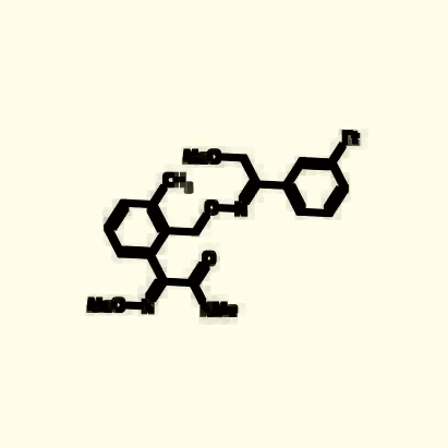 CCc1cccc(/C(COC)=N/OCc2c(C)cccc2/C(=N\OC)C(=O)NC)c1